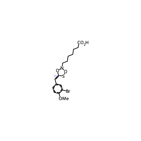 COc1ccc(/C=C2/ON(CCCCCCC(=O)O)OS2)cc1Br